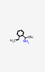 C=Cc1ccccc1C(N)C(C)(C)C